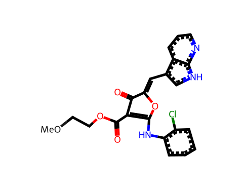 COCCOC(=O)C1=C(Nc2ccccc2Cl)O/C(=C\c2c[nH]c3ncccc23)C1=O